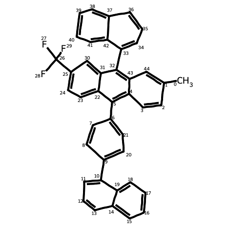 Cc1ccc2c(-c3ccc(-c4cccc5ccccc45)cc3)c3ccc(C(F)(F)F)cc3c(-c3cccc4ccccc34)c2c1